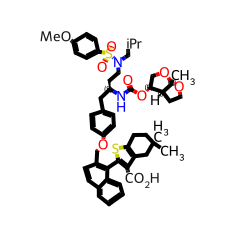 COc1ccc(S(=O)(=O)N(CC[C@H](Cc2ccc(OCc3ccc4ccccc4c3-c3sc4c(c3C(=O)O)CC(C)(C)CC4)cc2)NC(=O)O[C@H]2CO[C@@]3(C)OCC[C@@H]23)CC(C)C)cc1